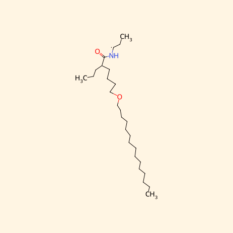 CC[CH]NC(=O)C(CCC)CCCCOCCCCCCCCCCCCCCC